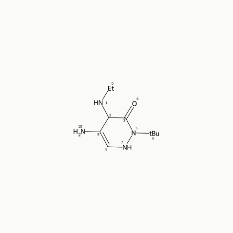 CCNC1C(=O)N(C(C)(C)C)NC=C1N